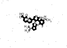 CNc1cc(F)c(F)c2c1[nH]c1ncc(-c3ccc4ccc(C(=O)O)c(=O)n4c3)c(N3CC4CC[C@H](N(C)C)C4C3)c12